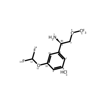 Cl.N[C@@H](COC(F)(F)F)c1cccc(OC(F)F)c1